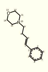 C(=Cc1ccccc1)CCN1CCOCC1